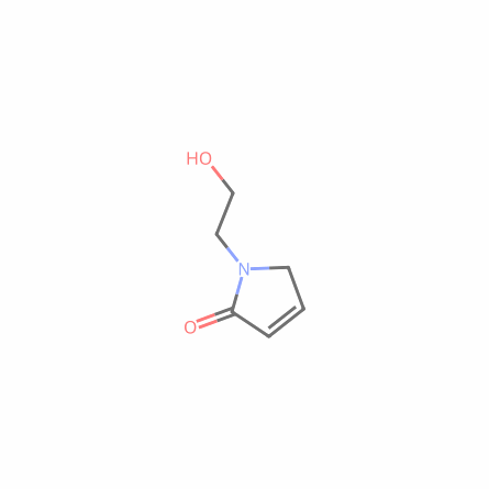 O=C1C=CCN1CCO